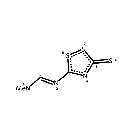 CN/C=N/c1nc(=S)ss1